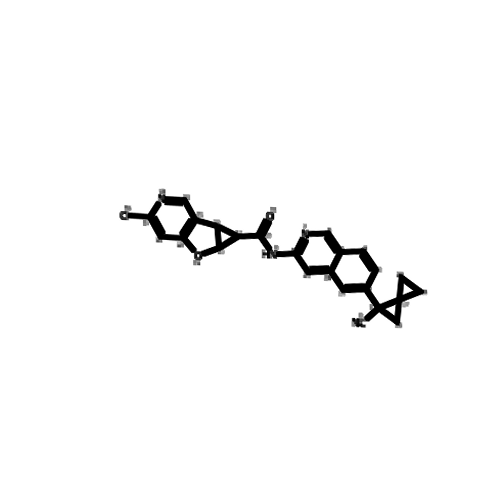 N#CC1(c2ccc3cnc(NC(=O)C4C5Oc6cc(Cl)ncc6C54)cc3c2)CC12CC2